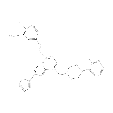 COc1ccc(CNc2ncc(CN3CCN(c4ccccc4C#N)CC3)c3nc(-c4ccco4)nn23)cc1OC